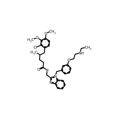 CCNCCOc1cccc(Cn2c(C[N]C(=O)CCC(C)Cc3ccc(OC)c(OC)c3Cl)nc3ccccc32)c1